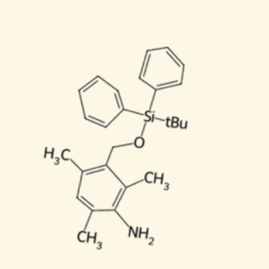 Cc1cc(C)c(CO[Si](c2ccccc2)(c2ccccc2)C(C)(C)C)c(C)c1N